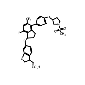 CS(=O)(=O)N1CCC(Oc2ccc(-c3c(C(F)(F)F)cc(F)c4c3CCC4Oc3ccc4c(c3)OCC4CC(=O)O)cc2)C1